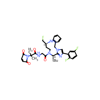 CC(C)(C)[C@H](c1nc(-c2cc(F)ccc2F)cn1Cc1ccccc1)N(CC[C@H](N)CF)C(=O)CNC(=O)C(C)(C)N1C(=O)C=CC1=O